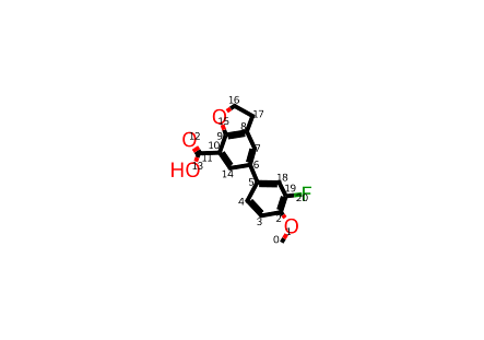 COc1ccc(-c2cc3c(c(C(=O)O)c2)OCC3)cc1F